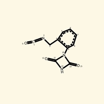 O=C=NCc1ccccc1N1C(=O)NC1=O